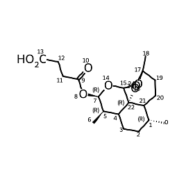 C[C@@H]1CCC2[C@@H](C)[C@@H](OC(=O)CCC(=O)O)OC3OC4(C)CCC1[C@]32OO4